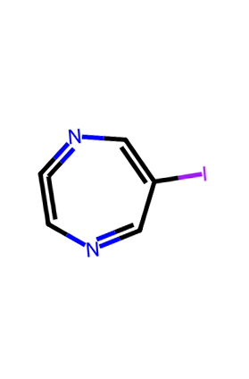 IC1=CN=C=CN=C1